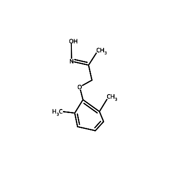 CC(COc1c(C)cccc1C)=NO